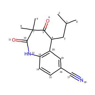 CC(C)CC1C(=O)C(C)(C)C(=O)Nc2ccc(C#N)cc21